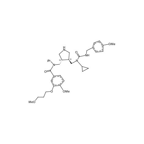 COCCCOc1cc(C(=O)N(C[C@@H]2CNC[C@H]2CN(C(=O)NCc2ccc(OC)cc2)C2CC2)C(C)C)ccc1OC